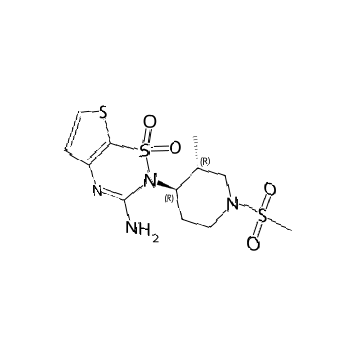 C[C@@H]1CN(S(C)(=O)=O)CC[C@H]1N1C(N)=Nc2ccsc2S1(=O)=O